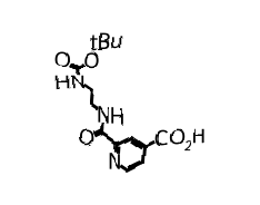 CC(C)(C)OC(=O)NCCNC(=O)c1cc(C(=O)O)ccn1